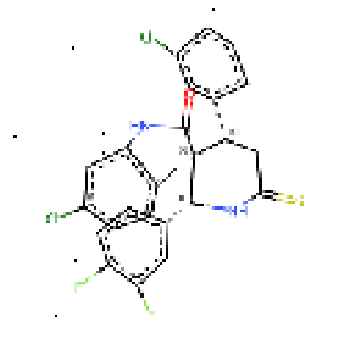 O=C1Nc2cc(Cl)ccc2[C@]12[C@@H](c1ccc(F)c(F)c1)NC(=S)C[C@H]2c1cccc(Cl)c1